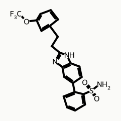 NS(=O)(=O)c1ccccc1-c1ccc2[nH]c(CCc3cccc(OC(F)(F)F)c3)nc2c1